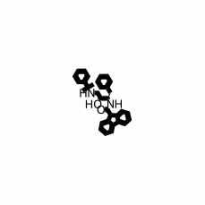 CC(C)(NC[C@@H](O)[C@H](Cc1ccccc1)NC(=O)C1c2ccccc2-c2ccccc21)c1ccccc1